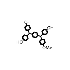 COc1ccc(C(c2ccc(O)cc2)c2ccc(C(c3ccc(O)cc3)c3ccc(O)cc3)cc2)cc1